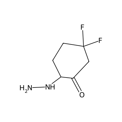 NNC1CCC(F)(F)CC1=O